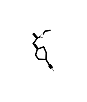 C=C(C=C1CCC(C#N)CC1)OCC